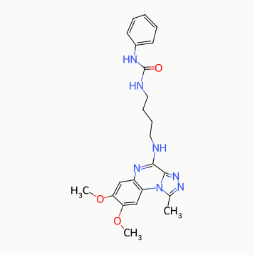 COc1cc2nc(NCCCCNC(=O)Nc3ccccc3)c3nnc(C)n3c2cc1OC